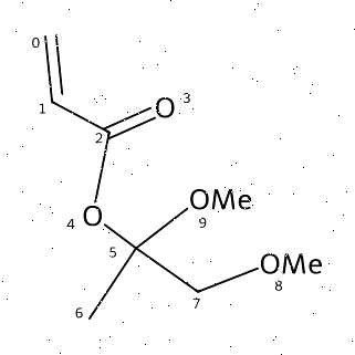 C=CC(=O)OC(C)(COC)OC